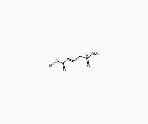 CCOC(=O)/C=C/C[PH](=O)OC